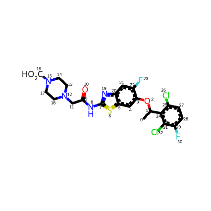 CC(Oc1cc2sc(NC(=O)CN3CCN(C(=O)O)CC3)nc2cc1F)c1c(Cl)ccc(F)c1Cl